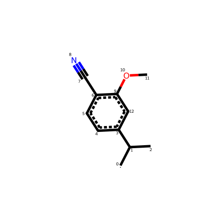 [CH2]C(C)c1ccc(C#N)c(OC)c1